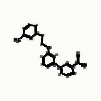 Cc1cccc(CCOc2cccc(-c3cccc(C(=O)O)c3)n2)c1